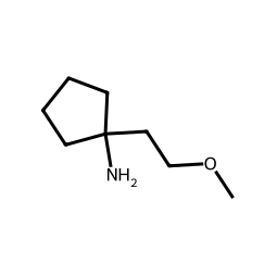 COCCC1(N)CCCC1